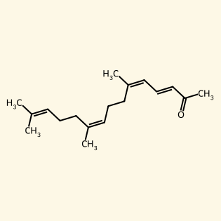 CC(=O)C=CC=C(C)CCC=C(C)CCC=C(C)C